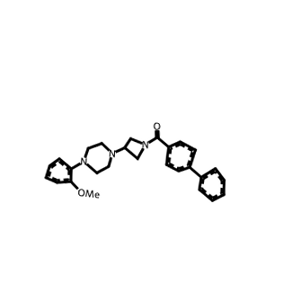 COc1ccccc1N1CCN(C2CN(C(=O)c3ccc(-c4ccccc4)cc3)C2)CC1